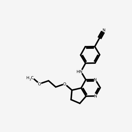 COCCOC1CCc2ncnc(Nc3ccc(C#N)cc3)c21